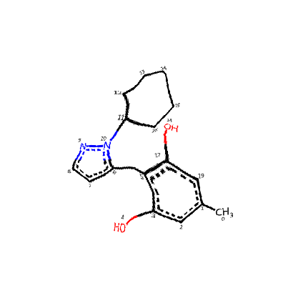 Cc1cc(O)c(-c2ccnn2C2CCCCC2)c(O)c1